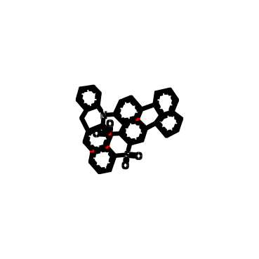 O=S1(=O)c2ccccc2S(=O)(=O)c2cc(-c3cccc4cccc(-c5ccc(N6c7ccccc7Cc7ccccc76)cc5)c34)ccc21